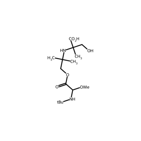 COC(NC(C)(C)C)C(=O)OCC(C)(C)NC(C)(CO)C(=O)O